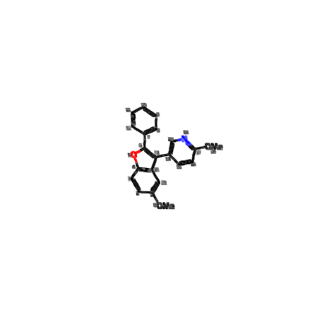 COc1ccc2oc(-c3ccccc3)c(-c3ccc(OC)nc3)c2c1